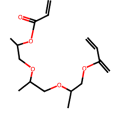 C=CC(=C)OCC(C)OCC(C)OCC(C)OC(=O)C=C